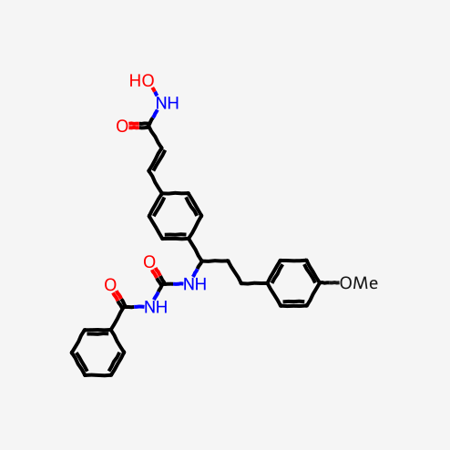 COc1ccc(CCC(NC(=O)NC(=O)c2ccccc2)c2ccc(C=CC(=O)NO)cc2)cc1